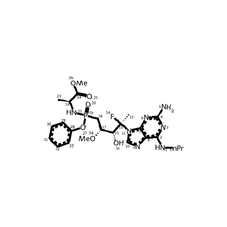 CCCNc1nc(N)nc2c1ncn2[C@](C)(F)[C@H](O)[C@@H](CP(=O)(N[C@@H](C)C(=O)OC)Oc1ccccc1)OC